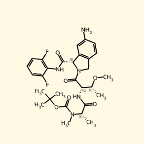 CO[C@H](C)[C@H](NC(=O)[C@H](C)N(C)C(=O)OC(C)(C)C)C(=O)N1Cc2ccc(N)cc2[C@H]1C(=O)Nc1c(F)cccc1F